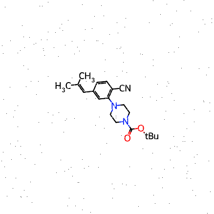 CC(C)=Cc1ccc(C#N)c(N2CCN(C(=O)OC(C)(C)C)CC2)c1